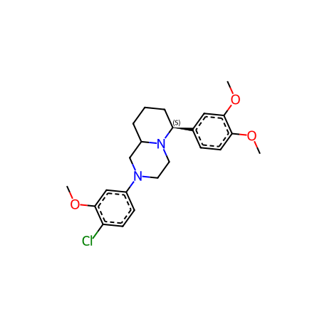 COc1cc(N2CCN3C(CCC[C@H]3c3ccc(OC)c(OC)c3)C2)ccc1Cl